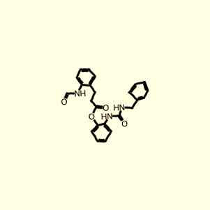 O=CNc1ccccc1CCC(=O)Oc1ccccc1NC(=O)NCc1ccccc1